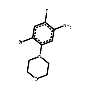 Nc1cc(N2CCOCC2)c(Br)cc1F